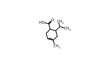 CC1=CCC(C(=O)O)C(C(C)C)C1